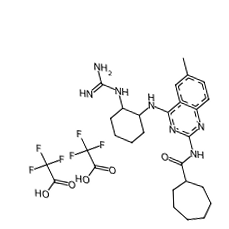 Cc1ccc2nc(NC(=O)C3CCCCCC3)nc(NC3CCCCC3NC(=N)N)c2c1.O=C(O)C(F)(F)F.O=C(O)C(F)(F)F